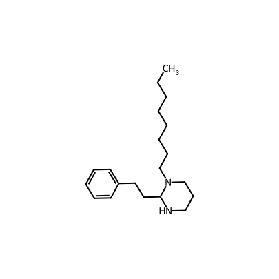 CCCCCCCCN1CCCNC1CCc1ccccc1